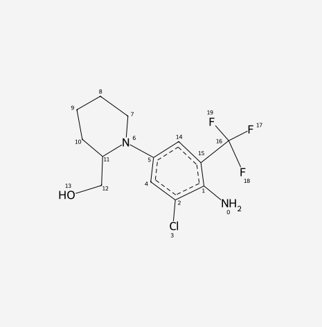 Nc1c(Cl)cc(N2CCCCC2CO)cc1C(F)(F)F